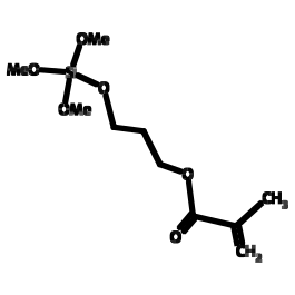 C=C(C)C(=O)OCCCO[Si](OC)(OC)OC